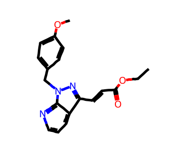 CCOC(=O)/C=C/c1nn(Cc2ccc(OC)cc2)c2ncccc12